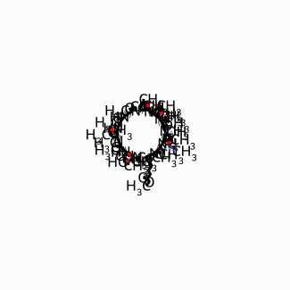 C/C=C/C[C@@H](C)[C@@H](O)[C@H]1C(=O)N[C@@H](CC)C(=O)N(C)[C@@H](CSCCCC(=O)OC)C(=O)CN(C)[C@@H](CC(C)(C)O)C(=O)N[C@@H](C(C)C)C(=O)N(C)[C@@H](CC(C)C)C(=O)N[C@@H](C)C(=O)N[C@H](C)C(=O)N(C)[C@@H](CC(C)C)C(=O)N(C)[C@@H](CC(C)C)C(=O)N(C)[C@@H](C(C)C)C(=O)N1C